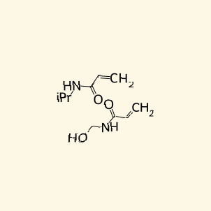 C=CC(=O)NC(C)C.C=CC(=O)NCO